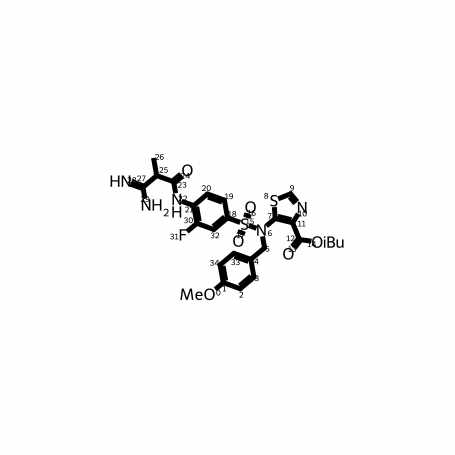 COc1ccc(CN(c2scnc2C(=O)OCC(C)C)S(=O)(=O)c2ccc(NC(=O)C(C)C(=N)N)c(F)c2)cc1